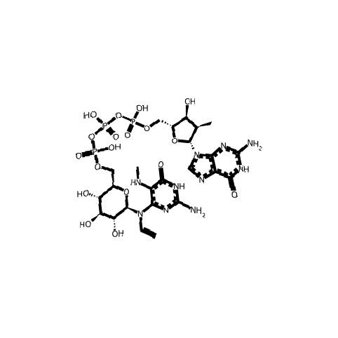 C=CN(c1nc(N)[nH]c(=O)c1NC)[C@@H]1O[C@H](COP(=O)(O)OP(=O)(O)OP(=O)(O)OC[C@H]2O[C@@H](n3cnc4c(=O)[nH]c(N)nc43)[C@H](C)[C@@H]2O)[C@@H](O)[C@H](O)[C@H]1O